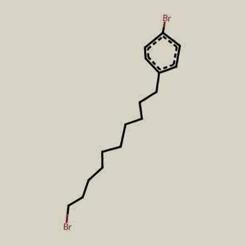 BrCCCCCCCCCCc1ccc(Br)cc1